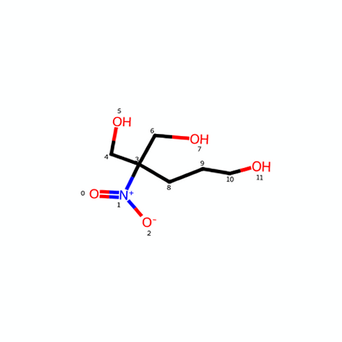 O=[N+]([O-])C(CO)(CO)CCCO